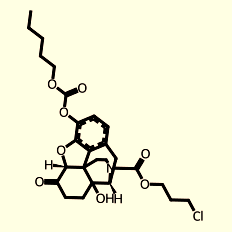 CCCCCOC(=O)Oc1ccc2c3c1O[C@H]1C(=O)CCC4(O)[C@@H](C2)N(C(=O)OCCCCl)CCC314